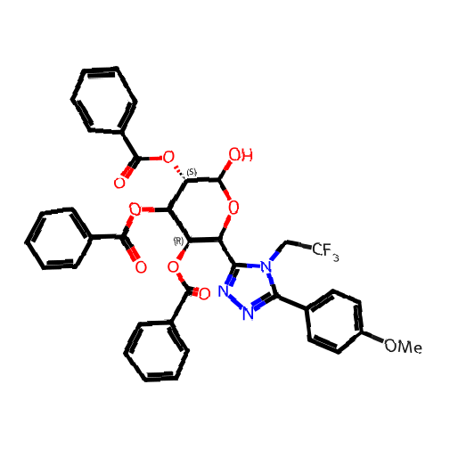 COc1ccc(-c2nnc(C3OC(O)[C@@H](OC(=O)c4ccccc4)C(OC(=O)c4ccccc4)[C@@H]3OC(=O)c3ccccc3)n2CC(F)(F)F)cc1